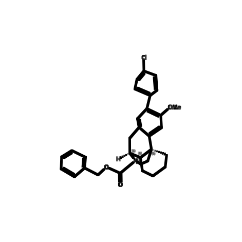 COc1cc2c(cc1-c1ccc(Cl)cc1)C[C@H]1[C@H]3CCCC[C@@]23CCN1C(=O)OCc1ccccc1